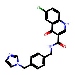 O=C(NCc1ccc(Cn2ccnc2)cc1)c1c[nH]c2ccc(Cl)cc2c1=O